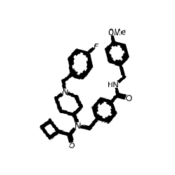 COc1ccc(CNC(=O)c2ccc(CN(C(=O)C3CCC3)C3CCN(Cc4ccc(F)cc4)CC3)cc2)cc1